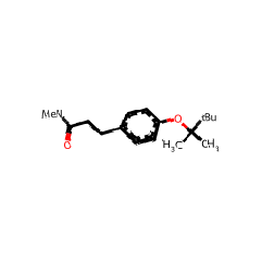 CNC(=O)CCc1ccc(OC(C)(C)C(C)(C)C)cc1